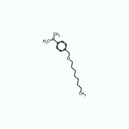 CCCCCCCCOCc1ccc(N(C)C)cc1